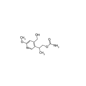 COc1cc(CO)c(C(C)COC(N)=O)cn1